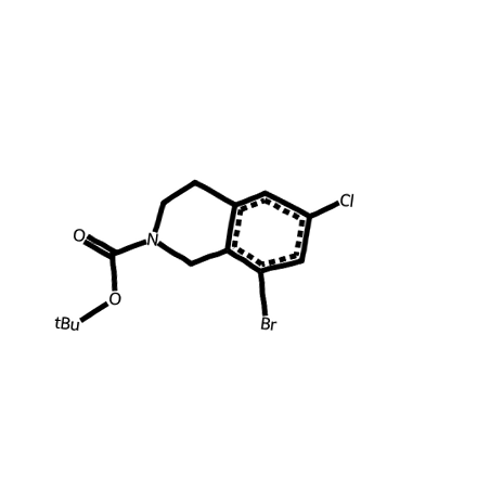 CC(C)(C)OC(=O)N1CCc2cc(Cl)cc(Br)c2C1